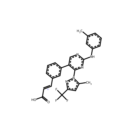 Cc1cccc(Nc2ncc(-c3cccc(/C=C/C(=O)O)c3)c(-n3nc(C(F)(F)F)cc3C)n2)c1